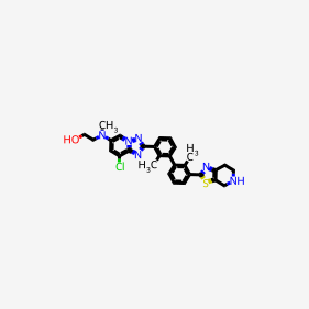 Cc1c(-c2nc3c(Cl)cc(N(C)CCO)cn3n2)cccc1-c1cccc(-c2nc3c(s2)CNCC3)c1C